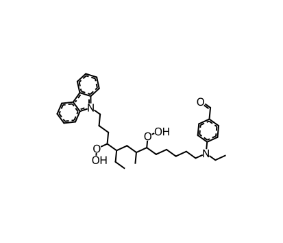 CCC(CC(C)C(CCCCCN(CC)c1ccc(C=O)cc1)OO)C(CCCn1c2ccccc2c2ccccc21)OO